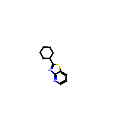 c1cnc2nc(C3CCCCC3)sc2c1